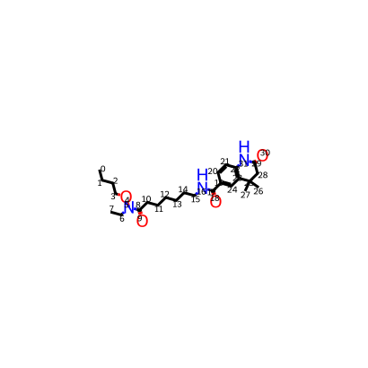 CCCCON(CC)C(=O)CCCCCCNC(=O)c1ccc2c(c1)C(C)(C)CC(=O)N2